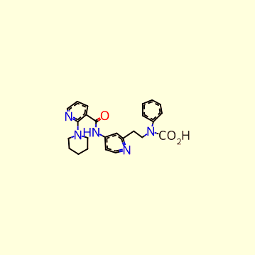 O=C(Nc1ccnc(CCN(C(=O)O)c2ccccc2)c1)c1cccnc1N1CCCCC1